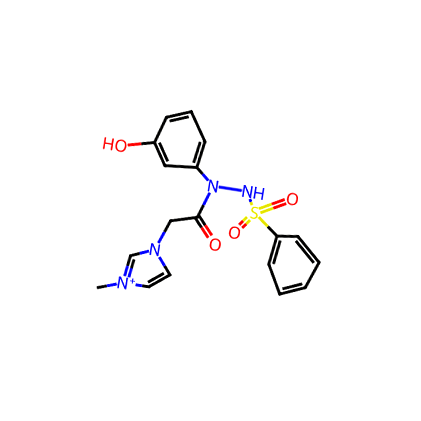 C[n+]1ccn(CC(=O)N(NS(=O)(=O)c2ccccc2)c2cccc(O)c2)c1